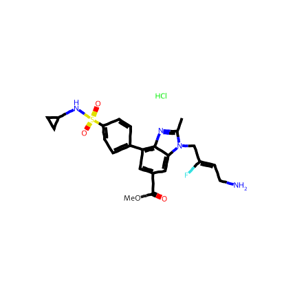 COC(=O)c1cc(-c2ccc(S(=O)(=O)NC3CC3)cc2)c2nc(C)n(C/C(F)=C/CN)c2c1.Cl